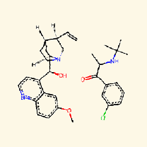 C=C[C@H]1C[N@]2CC[C@H]1C[C@@H]2[C@@H](O)c1ccnc2ccc(OC)cc12.CC(NC(C)(C)C)C(=O)c1cccc(Cl)c1